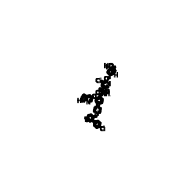 CC1(C)CCC(CN2CCN(c3ccc(C(=O)NS(=O)(=O)c4cnc(OC[C@@H]5C[C@H]6C[C@@H]5CC6(C)O)c(Cl)c4)c(Oc4cnc5[nH]ccc5c4)c3)CC2)=C(c2ccc(Cl)cc2)C1